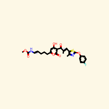 COC(=O)N/C=C/CCCc1cc(O)c(C(=O)/C(C)=C/c2sc(Oc3ccc(F)cc3)nc2C)c(=O)o1